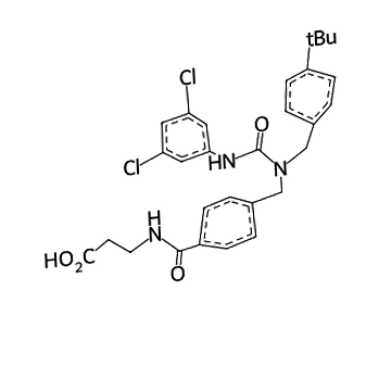 CC(C)(C)c1ccc(CN(Cc2ccc(C(=O)NCCC(=O)O)cc2)C(=O)Nc2cc(Cl)cc(Cl)c2)cc1